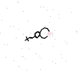 CC(C)(C)/C=C/c1ccc2c(c1)CCCBCCCC2